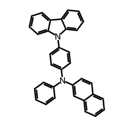 c1ccc(N(c2ccc(-n3c4ccccc4c4ccccc43)cc2)c2ccc3ccccc3c2)cc1